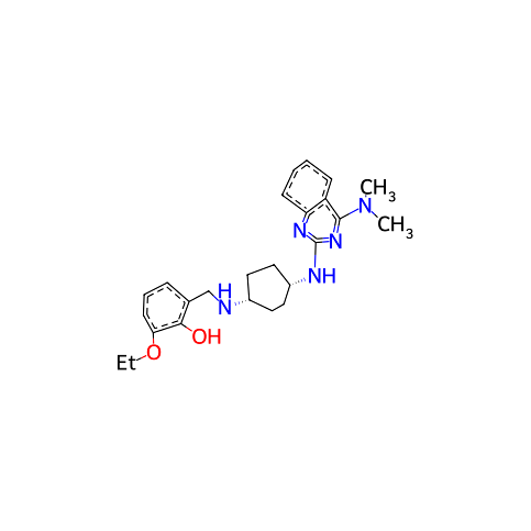 CCOc1cccc(CN[C@H]2CC[C@@H](Nc3nc(N(C)C)c4ccccc4n3)CC2)c1O